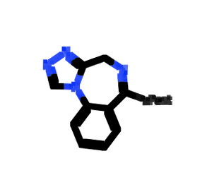 CCCCCC1=NCc2nncn2-c2ccccc21